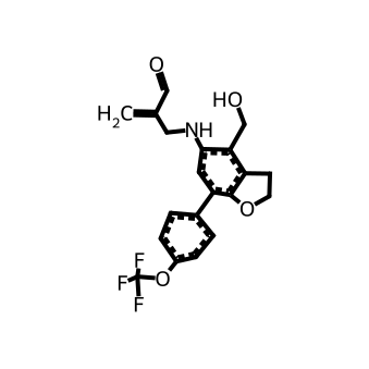 C=C(C=O)CNc1cc(-c2ccc(OC(F)(F)F)cc2)c2c(c1CO)CCO2